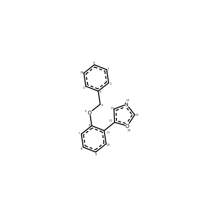 c1ccc(COc2ccccc2-c2cnco2)cc1